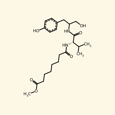 COC(=O)CCCCCCC(=O)N[C@H](C(=O)NC(CO)Cc1ccc(O)cc1)C(C)C